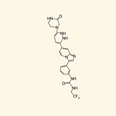 O=C1CN(C2=CC=C(c3ccn4c(-c5cccc(NC(=O)NCC(F)(F)F)c5)cnc4c3)NN2)CCN1